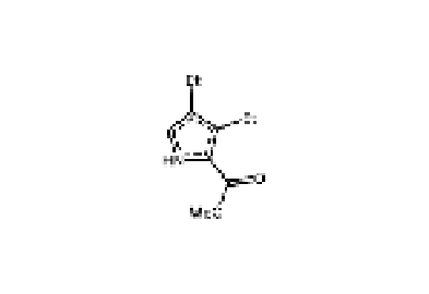 CCc1c[nH]c(C(=O)OC)c1CC